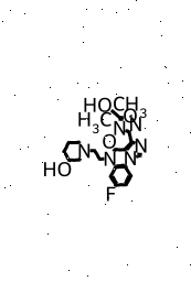 CC(C)(O)c1nc(-c2ncn3c2c(=O)n(CCN2CCCC(O)C2)c2cc(F)ccc23)no1